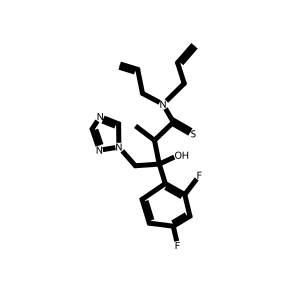 C=CCN(CC=C)C(=S)C(C)C(O)(Cn1cncn1)c1ccc(F)cc1F